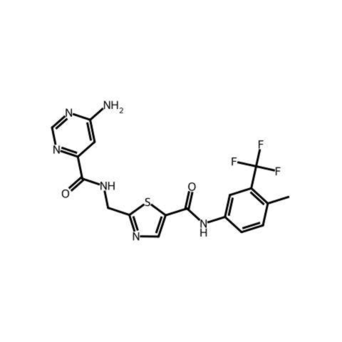 Cc1ccc(NC(=O)c2cnc(CNC(=O)c3cc(N)ncn3)s2)cc1C(F)(F)F